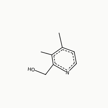 Cc1ccnc(CO)c1C